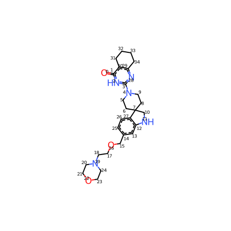 O=c1[nH]c(N2CCC3(CC2)CNc2cc(COCCN4CCOCC4)ccc23)nc2c1CCCC2